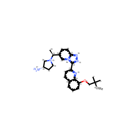 COC(C)(C)COc1cccc2ccc(-c3nnc4ccc([C@H](C)N5CC[C@H](N)C5)cn34)nc12